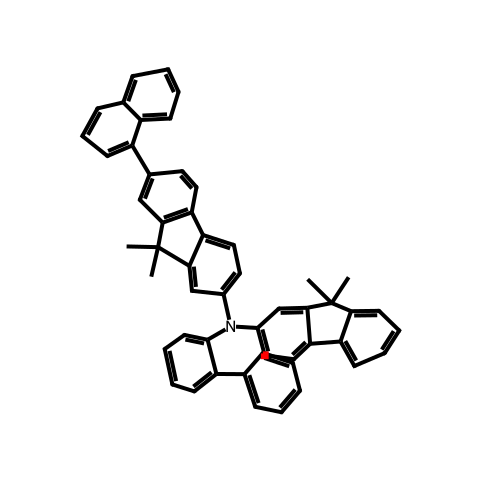 CC1(C)c2ccccc2-c2ccc(N(c3ccc4c(c3)C(C)(C)c3cc(-c5cccc6ccccc56)ccc3-4)c3ccccc3-c3ccccc3)cc21